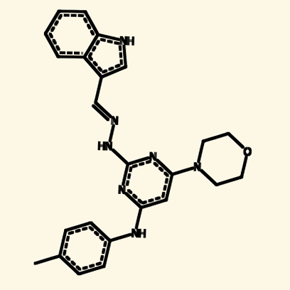 Cc1ccc(Nc2cc(N3CCOCC3)nc(NN=Cc3c[nH]c4ccccc34)n2)cc1